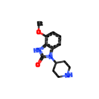 CCOc1cccc2c1[nH]c(=O)n2C1CCNCC1